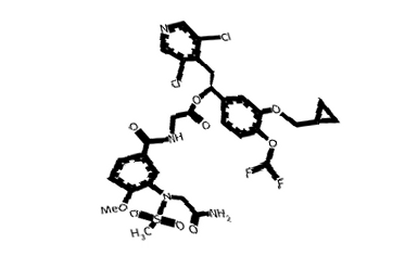 COc1ccc(C(=O)NCC(=O)O[C@@H](Cc2c(Cl)cncc2Cl)c2ccc(OC(F)F)c(OCC3CC3)c2)cc1N(CC(N)=O)S(C)(=O)=O